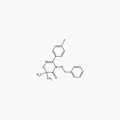 CC1(C)ON=C(c2ccc(F)cc2)N(OCc2ccccc2)C1=O